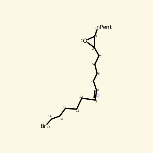 CCCCCC1OC1CCCC/C=C\CCCCCBr